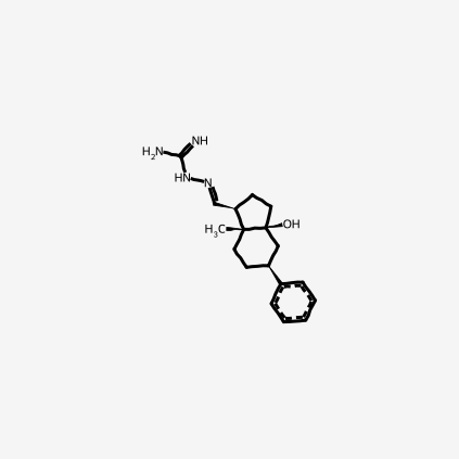 C[C@]12CC[C@H](c3ccccc3)C[C@@]1(O)CC[C@@H]2C=NNC(=N)N